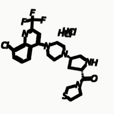 Cl.Cl.O=C([C@@H]1C[C@H](N2CCN(c3cc(C(F)(F)F)nc4c(Cl)cccc34)CC2)CN1)N1CCSC1